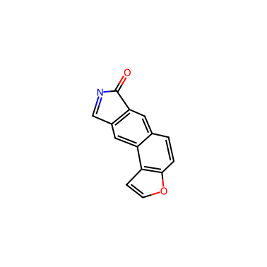 O=C1N=Cc2cc3c(ccc4occc43)cc21